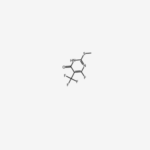 CSc1nc(F)c(C(F)(F)F)c(=O)[nH]1